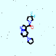 O=C(c1cnn2ccc(N3CCCC3)cc12)N1CCC(F)(F)C1